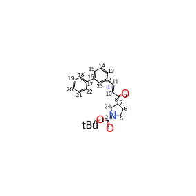 CC(C)(C)OC(=O)N1CCC(C(=O)/C=C/c2cccc(-c3ccccc3)c2)C1